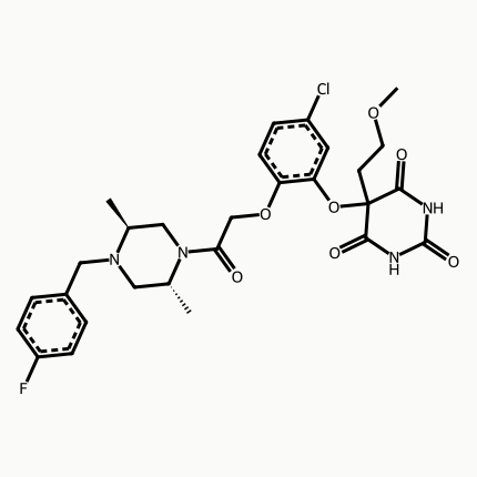 COCCC1(Oc2cc(Cl)ccc2OCC(=O)N2C[C@H](C)N(Cc3ccc(F)cc3)C[C@H]2C)C(=O)NC(=O)NC1=O